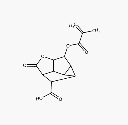 C=C(C)C(=O)OC1C2OC(=O)C3C(C(=O)O)C4C1C4C23